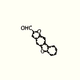 O=Cc1cc2cc3oc4ccccc4c3cc2o1